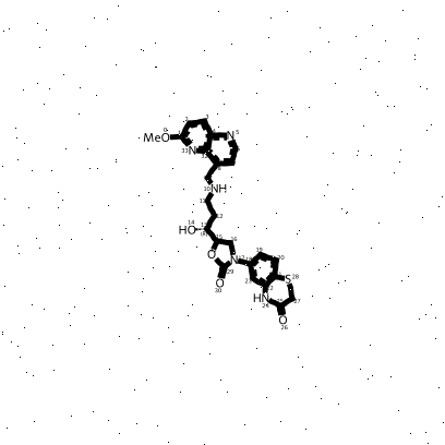 COc1ccc2nccc(CNCC[C@@H](O)C3CN(c4ccc5c(c4)NC(=O)CS5)C(=O)O3)c2n1